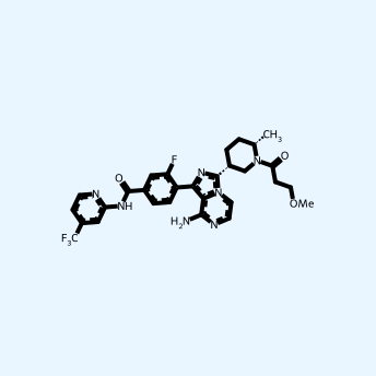 COCCC(=O)N1C[C@H](c2nc(-c3ccc(C(=O)Nc4cc(C(F)(F)F)ccn4)cc3F)c3c(N)nccn23)CC[C@@H]1C